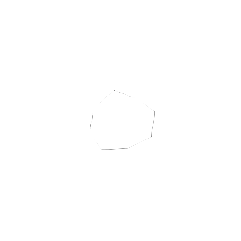 C1CCCOOCC1